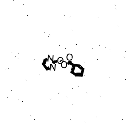 O=C(OOc1ncccn1)c1ccccc1